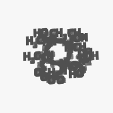 CC1=C(CCC(=O)O)c2cc3[nH]c(cc4nc(cc5[nH]c(cc1n2)c(C(C)O)c5C)C(C(C)O)=C4C)c(C)c3CCC(=O)O.O=C(CO)N(CO)CO